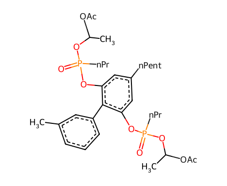 CCCCCc1cc(OP(=O)(CCC)OC(C)OC(C)=O)c(-c2cccc(C)c2)c(OP(=O)(CCC)OC(C)OC(C)=O)c1